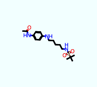 CC(=O)Nc1ccc(NCCCCCNS(=O)(=O)C(C)(C)C)cc1